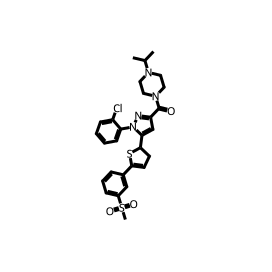 CC(C)N1CCN(C(=O)c2cc(C3CC=C(c4cccc(S(C)(=O)=O)c4)S3)n(-c3ccccc3Cl)n2)CC1